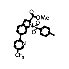 COC(=O)c1cc2ccc(-c3ccc(C(F)(F)F)cn3)cc2n1S(=O)(=O)c1ccc(C)cc1